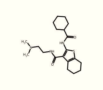 CN(C)CCNC(=O)c1c(NC(=O)C2CCCCC2)sc2c1CCCC2